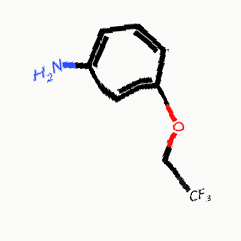 Nc1cc[c]c(OCC(F)(F)F)c1